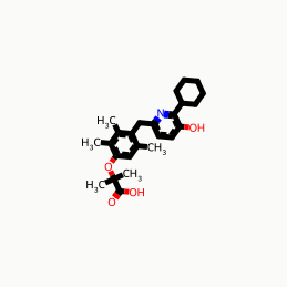 Cc1cc(OC(C)(C)C(=O)O)c(C)c(C)c1Cc1ccc(O)c(C2CCCCC2)n1